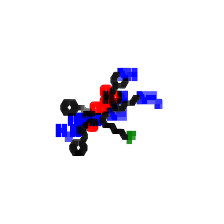 NCCC(N)C[C@@H](NC(=O)C(CCCCCF)NC(=O)[C@@H](Cc1ccccc1)NC(=O)[C@H](N)Cc1ccccc1)C(=O)OC(=O)C1CCNCC1